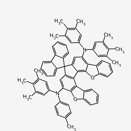 Cc1ccc(N(c2cc(C)c(C)c(C)c2)c2cc3c(c4c2oc2ccccc24)-c2c(cc(N(c4cc(C)c(C)c(C)c4)c4cc(C)c(C)c(C)c4)c4c2oc2ccccc24)C32c3ccccc3-c3ccccc32)cc1